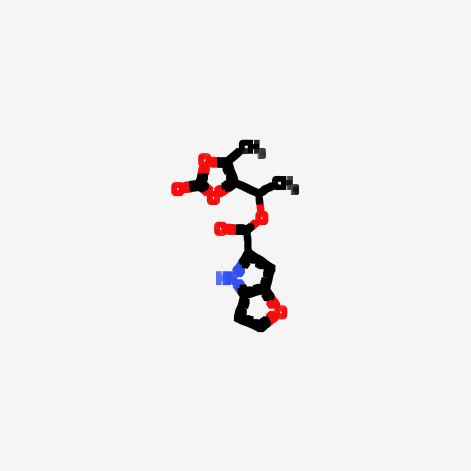 Cc1oc(=O)oc1C(C)OC(=O)c1cc2occc2[nH]1